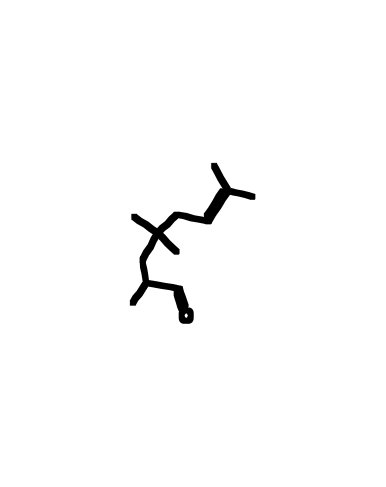 CC(C)=CCC(C)(C)CC(C)C=O